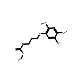 COc1cc(C=O)c(N)cc1OCCCNC(=O)OC(C)(C)C